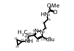 COC(=O)NCCCn1nc([C@@H](C)NC2CC2)cc1C(C)(C)C